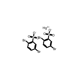 O=S(=O)([O-])c1cc(Br)ccc1Br.O=S(=O)([O-])c1cc(Br)ccc1Br.[Hg+2]